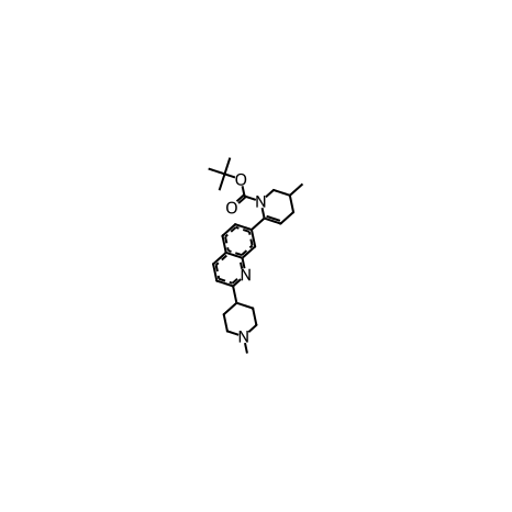 CC1CC=C(c2ccc3ccc(C4CCN(C)CC4)nc3c2)N(C(=O)OC(C)(C)C)C1